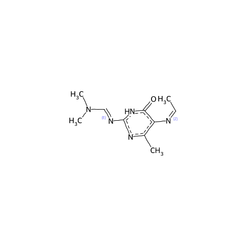 C/C=N\c1c(C)nc(/N=C/N(C)C)[nH]c1=O